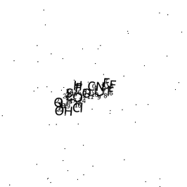 Cc1nc(C(F)(F)F)ccc1COc1cc(Cl)c2c(CC(=O)O)csc2c1F